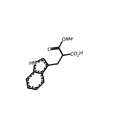 COC(=O)C(Cc1c[nH]c2ccccc12)C(=O)O